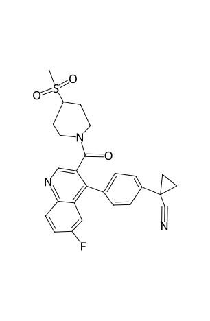 CS(=O)(=O)C1CCN(C(=O)c2cnc3ccc(F)cc3c2-c2ccc(C3(C#N)CC3)cc2)CC1